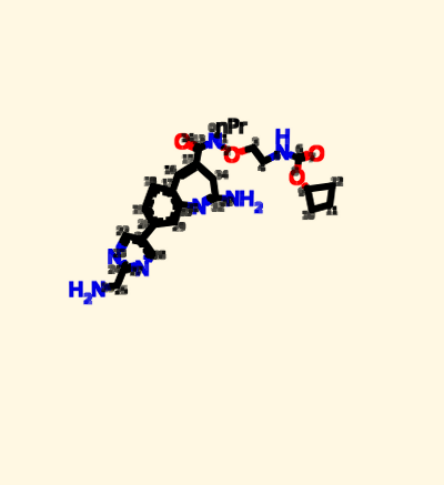 CCCN(OCCNC(=O)OC1CCC1)C(=O)C1=Cc2ccc(-c3cnc(CN)nc3)cc2N=C(N)C1